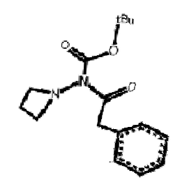 CC(C)(C)OC(=O)N(C(=O)Cc1[c]cccc1)N1CCC1